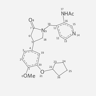 COc1ccc(C2CC(=O)N(Cc3ccncc3NC(C)=O)C2)cc1OC1CCCC1